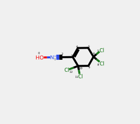 O[N+]#CC1=CCC(Cl)(Cl)CC1(Cl)Cl